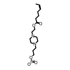 C/C=C\CCCC(=O)OCCN1CCN(CCCO[N+](=O)[O-])CC1